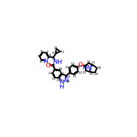 O=C(NC(c1ccccn1)C1CC1)c1ccc2[nH]nc(-c3ccc(OC4CC5CCC(C4)N5)cc3)c2c1